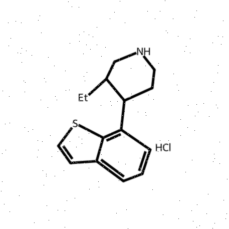 CCC1CNCCC1c1cccc2ccsc12.Cl